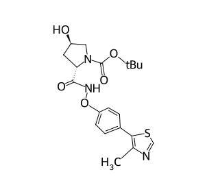 Cc1ncsc1-c1ccc(ONC(=O)[C@@H]2C[C@@H](O)CN2C(=O)OC(C)(C)C)cc1